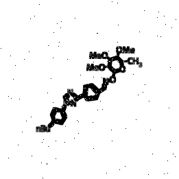 CCCCc1ccc(-n2cnc(-c3ccc(/C=N/O[C@@H]4O[C@@H](C)[C@H](OC)[C@@H](OC)[C@H]4OC)cc3)n2)cc1